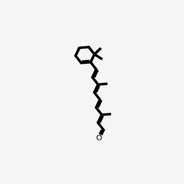 CC(/C=C/C=C(C)/C=C/C1=CCCCC1(C)C)=C\C=O